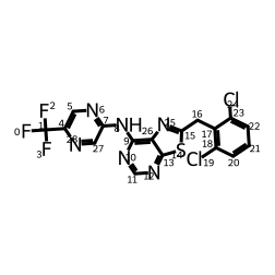 FC(F)(F)c1cnc(Nc2ncnc3sc(Cc4c(Cl)cccc4Cl)nc23)cn1